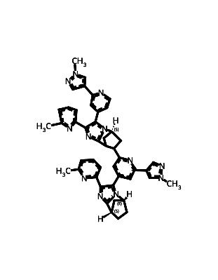 Cc1cccc(-c2nc3n(c2-c2ccnc(-c4cnn(C)c4)c2)[C@H]2CC(c4cc(-c5c(-c6cccc(C)n6)nc6n5[C@@H]5CC[C@H]6C5)cc(-c5cnn(C)c5)n4)C3C2)n1